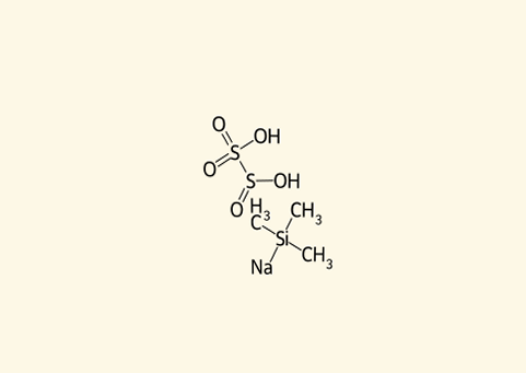 C[Si](C)(C)[Na].O=S(O)S(=O)(=O)O